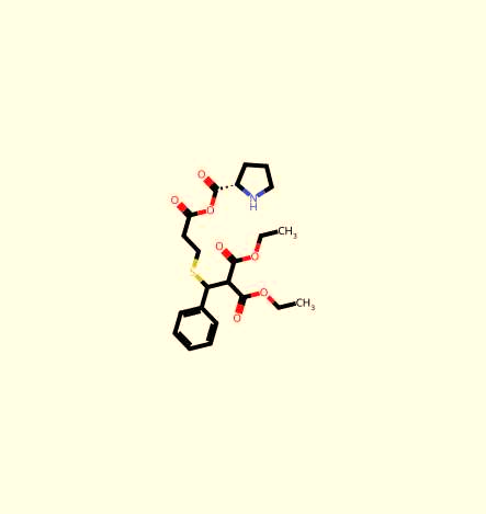 CCOC(=O)C(C(=O)OCC)C(SCCC(=O)OC(=O)[C@@H]1CCCN1)c1ccccc1